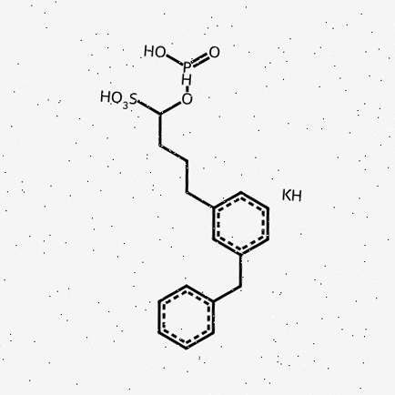 O=[PH](O)OC(CCCc1cccc(Cc2ccccc2)c1)S(=O)(=O)O.[KH]